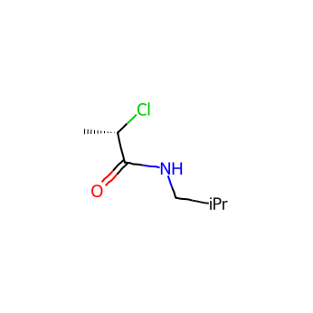 CC(C)CNC(=O)[C@H](C)Cl